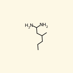 CCCC(C)CC(N)N